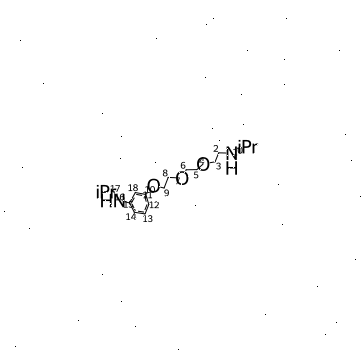 CC(C)NCCOCCOCCOc1cccc(NC(C)C)c1